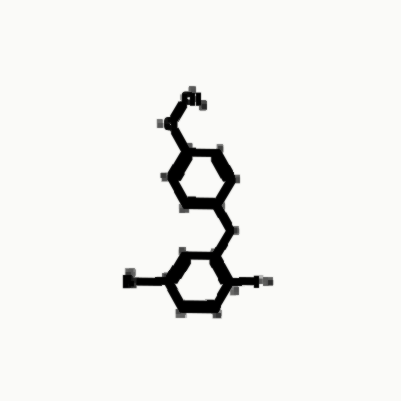 COc1ccc(Cc2cc(Br)ccc2F)cc1